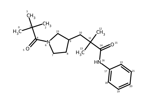 CC(C)(C)C(=O)N1CCC(CC(C)(C)C(=O)Nc2ccccc2)C1